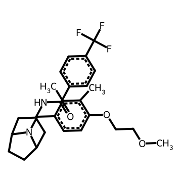 COCCOc1ccc(CN2C3CCC2CC(NC(=O)c2ccc(C(F)(F)F)cc2)C3)c(C)c1C